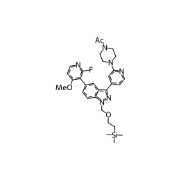 COc1ccnc(F)c1-c1ccc2c(c1)c(-c1ccnc(N3CCN(C(C)=O)CC3)c1)nn2COCC[Si](C)(C)C